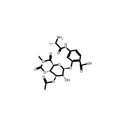 COC(=O)[C@H]1O[C@@H](Oc2cc(NC(=O)[C@H](C)N)ccc2C(=O)O)[C@H](O)[C@@H](OC(C)=O)[C@@H]1OC(C)=O